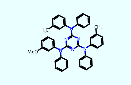 COc1cccc(N(c2ccccc2)c2nc(N(c3ccccc3)c3cccc(C)c3)nc(N(c3ccccc3)c3cccc(C)c3)n2)c1